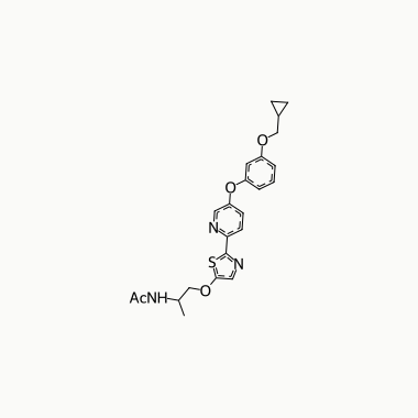 CC(=O)NC(C)COc1cnc(-c2ccc(Oc3cccc(OCC4CC4)c3)cn2)s1